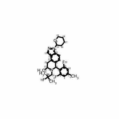 Cc1cc(F)c(C2c3ccc4c(cnn4C4CCCCO4)c3CC(C)N2CC(C)(C)F)c(F)c1